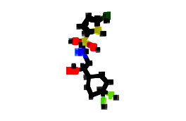 O=S(=O)(NCC(O)C1CCC(F)(F)CC1)c1ccc(Cl)s1